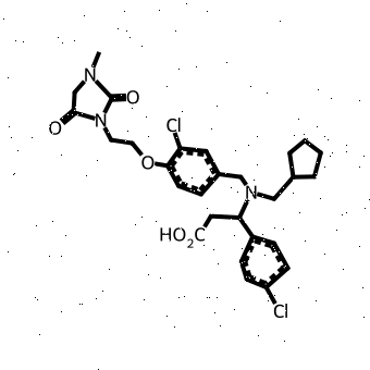 CN1CC(=O)N(CCOc2ccc(CN(CC3CCCC3)C(CC(=O)O)c3ccc(Cl)cc3)cc2Cl)C1=O